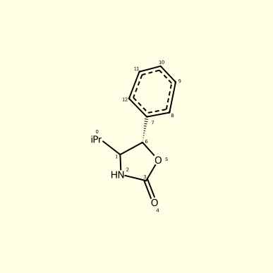 CC(C)C1NC(=O)O[C@H]1c1ccccc1